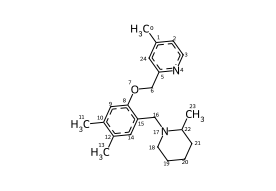 Cc1ccnc(COc2cc(C)c(C)cc2CN2CCCCC2C)c1